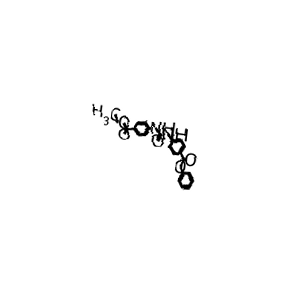 CCOC(=O)c1ccc(NC(=O)Nc2ccc(C(=O)Oc3ccccc3)cc2)cc1